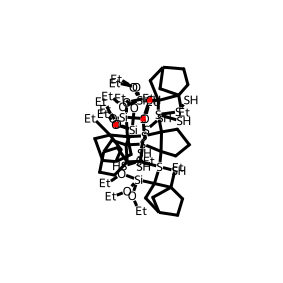 CCO[Si](OCC)(OCC)C1(S(S)(SS)C2(S(S)(SS)C3([Si](OCC)(OCC)OCC)CC4CCC3(CC)C4)CCCC2(S(S)(SS)C2([Si](OCC)(OCC)OCC)CC3CCC2(CC)C3)S(S)(SS)C2([Si](OCC)(OCC)OCC)CC3CCC2(CC)C3)CC2CCC1(CC)C2